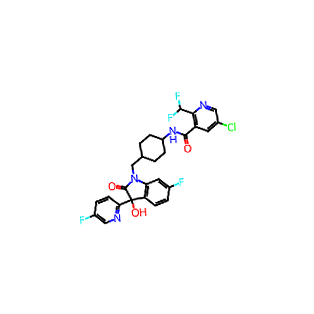 O=C(NC1CCC(CN2C(=O)C(O)(c3ccc(F)cn3)c3ccc(F)cc32)CC1)c1cc(Cl)cnc1C(F)F